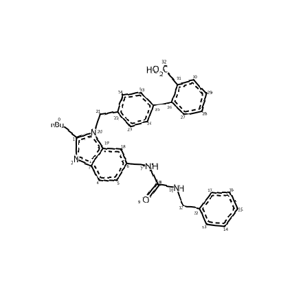 CCCCc1nc2ccc(NC(=O)NCc3ccccc3)cc2n1Cc1ccc(-c2ccccc2C(=O)O)cc1